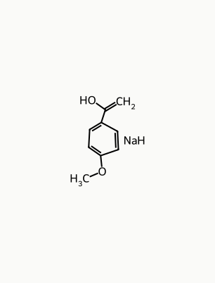 C=C(O)c1ccc(OC)cc1.[NaH]